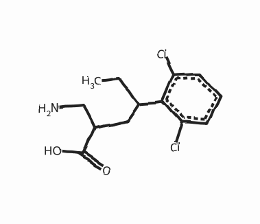 CCC(CC(CN)C(=O)O)c1c(Cl)cccc1Cl